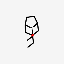 CCC1CC2CCC(C1)N2CC